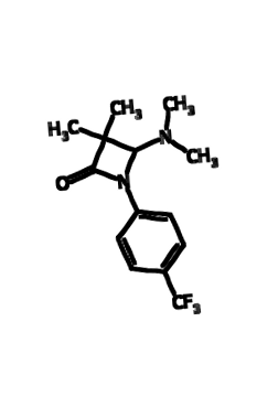 CN(C)C1N(c2ccc(C(F)(F)F)cc2)C(=O)C1(C)C